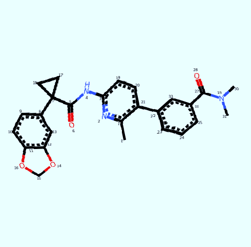 Cc1nc(NC(=O)C2(c3ccc4c(c3)OCO4)CC2)ccc1-c1cccc(C(=O)N(C)C)c1